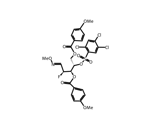 CON=C[C@H](F)[C@H](OC(=O)c1ccc(OC)cc1)[C@H](COC(=O)c1ccc(OC)cc1)OS(=O)(=O)c1cc(Cl)c(Cl)cc1Cl